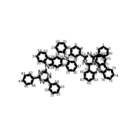 c1ccc(-c2nc(-c3cccc([Si](c4ccccc4)(c4ccccc4)c4ccc5c(c4)c4ccccc4n5-c4nc(-c5ccccc5)nc(-c5ccccc5)n4)c3)nc(-c3ccccc3-n3c4ccccc4c4ccccc43)n2)cc1